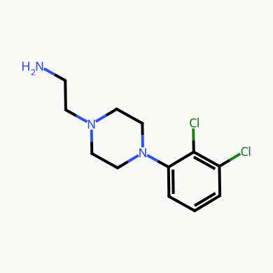 NCCN1CCN(c2cccc(Cl)c2Cl)CC1